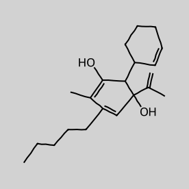 C=C(C)C1(O)C=C(CCCCC)C(C)=C(O)C1C1C=CCCC1